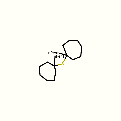 CCCCCC1(SC2(CCCCC)CCCCCC2)CCCCCC1